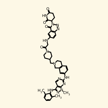 Cc1cccc(C)c1Nc1nn(C)c2nc(Nc3ccc4c(c3)CN(CC3CCN(C(=O)CNc5ccc6nnn(C7CCC(=O)NC7=O)c(=O)c6c5)CC3)CC4)ncc12